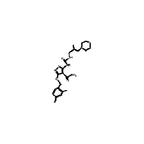 Cc1ccc(COc2nsc(NC(=O)NCC(C)CN3CCOCC3)c2C(N)=O)c(C)c1